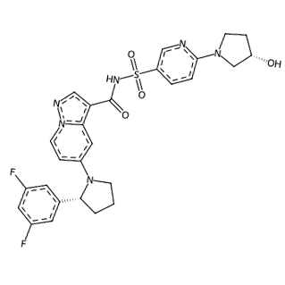 O=C(NS(=O)(=O)c1ccc(N2CC[C@H](O)C2)nc1)c1cnn2ccc(N3CCC[C@@H]3c3cc(F)cc(F)c3)cc12